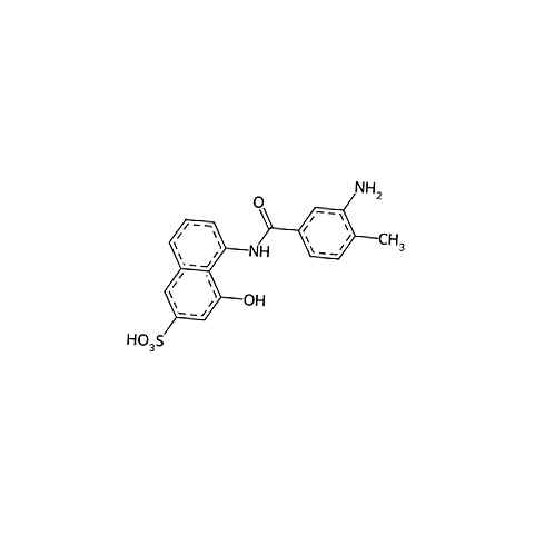 Cc1ccc(C(=O)Nc2cccc3cc(S(=O)(=O)O)cc(O)c23)cc1N